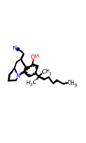 CCCCCCC(C)(C)c1cc(O)c2c(c1)N1CCCC1CC2CC#N